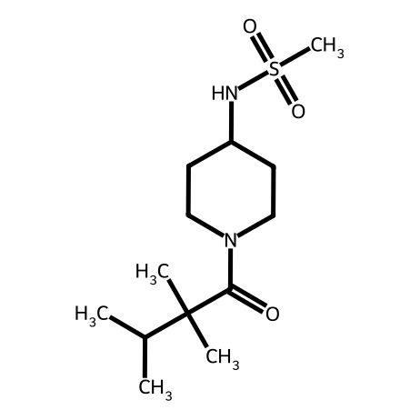 CC(C)C(C)(C)C(=O)N1CCC(NS(C)(=O)=O)CC1